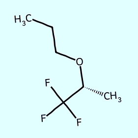 CCCO[C@H](C)C(F)(F)F